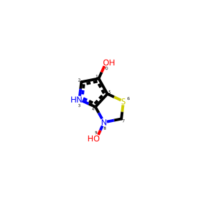 Oc1c[nH]c2c1SCN2O